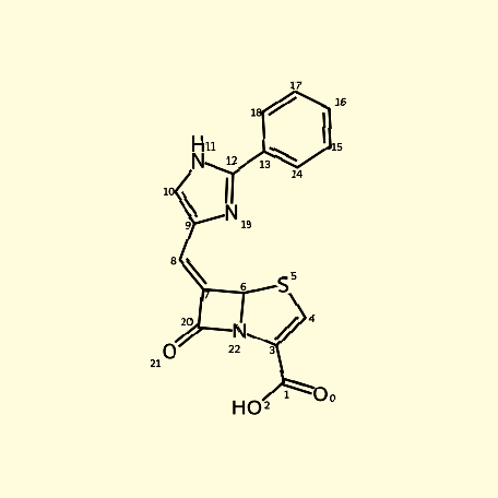 O=C(O)C1=CSC2C(=Cc3c[nH]c(-c4ccccc4)n3)C(=O)N12